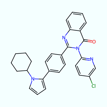 O=c1c2ccccc2nc(-c2ccc(-c3cccn3C3CCCCC3)cc2)n1-c1ccc(Cl)cn1